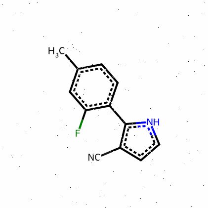 Cc1ccc(-c2[nH]ccc2C#N)c(F)c1